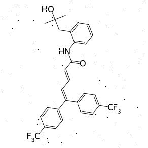 CC(C)(O)Cc1ccccc1NC(=O)C=CC=C(c1ccc(C(F)(F)F)cc1)c1ccc(C(F)(F)F)cc1